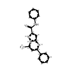 O=C(Nc1ccccc1)c1cc2nc(-c3ccccc3)cc(C(F)(F)F)n2n1